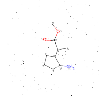 COC(=O)C(C)C1CCCC1N